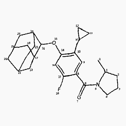 CC1CCCN1C(=O)c1cc(C2CC2)c(OC2C3CC4CC(C3)CC2C4)cc1F